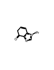 CC(C)n1cnc2c1C=CCC2=O